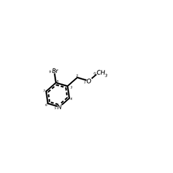 COCc1cnccc1Br